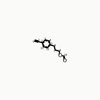 C#Cc1ccc(CCCOC=O)cc1